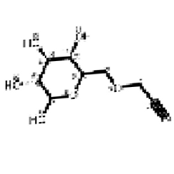 C#CCOC[C@H]1OC(O)[C@H](O)[C@@H](O)[C@H]1O